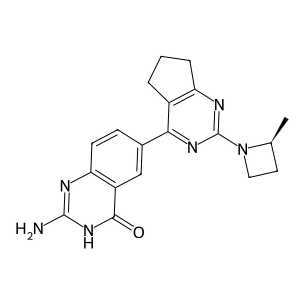 C[C@H]1CCN1c1nc2c(c(-c3ccc4nc(N)[nH]c(=O)c4c3)n1)CCC2